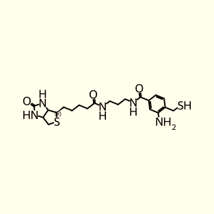 Nc1cc(C(=O)NCCCNC(=O)CCCC[C@H]2SCC3NC(=O)NC32)ccc1CS